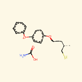 C[C@H](CS)CCOc1ccc(Oc2ccccc2)cc1.NC(=O)O